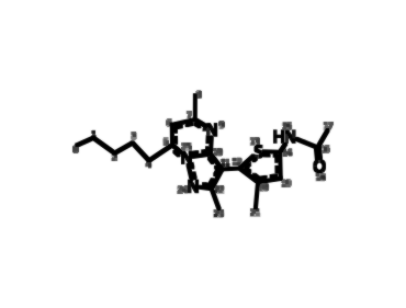 CCCCCc1cc(C)nc2c(-c3sc(NC(C)=O)cc3C)c(C)nn12